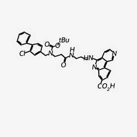 CC(C)(C)OC(=O)N(CCC(=O)NCCCNc1nc2cc(C(=O)O)ccc2c2cnccc12)Cc1ccc(-c2ccccc2)c(Cl)c1